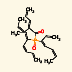 C=C/C=C\C(=C/C)P(=O)(C(=O)C(/C=C\C)=C/C=C)/C(C=C)=C/C=C\C